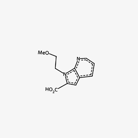 COCCn1c(C(=O)O)cc2cccnc21